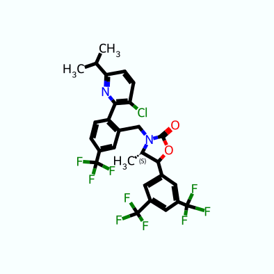 CC(C)c1ccc(Cl)c(-c2ccc(C(F)(F)F)cc2CN2C(=O)OC(c3cc(C(F)(F)F)cc(C(F)(F)F)c3)[C@@H]2C)n1